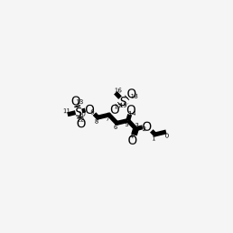 CCOC(=O)C(CCCOS(C)(=O)=O)OS(C)(=O)=O